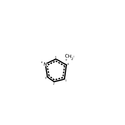 [CH2].c1ccncc1